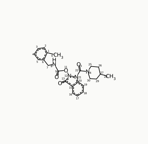 Cc1ccccc1CNC(=O)On1c(=O)c2ccccc2n1C(=O)N1CCC(C)CC1